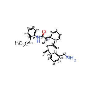 C=C(CC(=C)C1C=CC=C/C1=C(/C)C(=O)Nc1ccccc1CC(=O)O)c1cccc(CN)c1